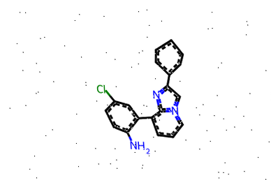 Nc1ccc(Cl)cc1-c1cccn2cc(-c3ccccc3)nc12